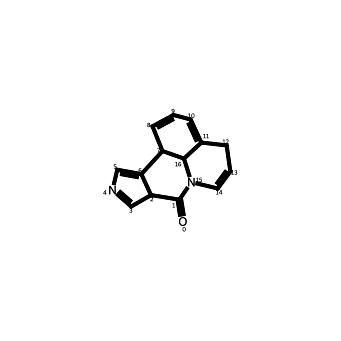 O=C1C2C=NC=C2C2C=CC=C3CC=CN1C32